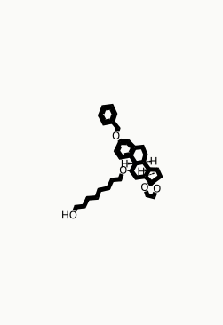 C[C@]12C[C@H](OCCCCCCCCO)[C@@H]3c4ccc(OCc5ccccc5)cc4CC[C@H]3[C@@H]1CCC21OCCO1